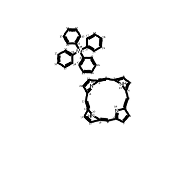 C1=Cc2cc3ccc(cc4nc(cc5ccc(cc1n2)[nH]5)C=C4)[nH]3.c1cc[c]([Mn]([c]2ccccc2)([c]2ccccc2)[c]2ccccc2)cc1